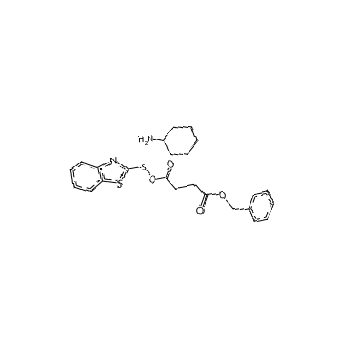 NC1CCCCC1.O=C(CCC(=O)OSc1nc2ccccc2s1)OCc1ccccc1